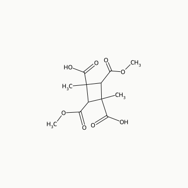 COC(=O)C1C(C)(C(=O)O)C(C(=O)OC)C1(C)C(=O)O